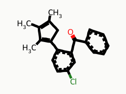 CC1=C(C)C(C)=C(c2ccc(Cl)cc2C(=O)c2ccccc2)C1